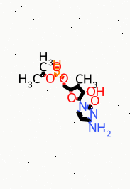 CC(C)O[PH](=O)OCC1O[C@@H](n2ccc(N)nc2=O)[C@@H](O)[C@@H]1C